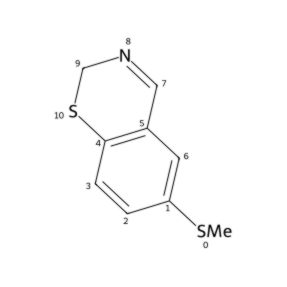 CSc1ccc2c(c1)C=NCS2